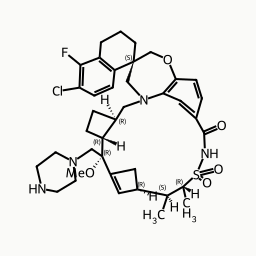 CO[C@@]1(CN2CCNCC2)C2=C[C@@H](C2)[C@H](C)[C@@H](C)S(=O)(=O)NC(=O)c2ccc3c(c2)N(C[C@@H]2CC[C@H]21)C[C@@]1(CCCc2c1ccc(Cl)c2F)CO3